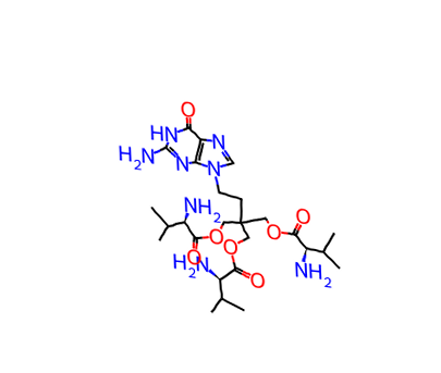 CC(C)[C@@H](N)C(=O)OCC(CCn1cnc2c(=O)[nH]c(N)nc21)(COC(=O)[C@H](N)C(C)C)COC(=O)[C@H](N)C(C)C